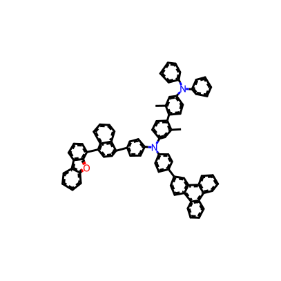 Cc1cc(N(c2ccccc2)c2ccccc2)ccc1-c1ccc(N(c2ccc(-c3ccc4c5ccccc5c5ccccc5c4c3)cc2)c2ccc(-c3ccc(-c4cccc5c4oc4ccccc45)c4ccccc34)cc2)cc1C